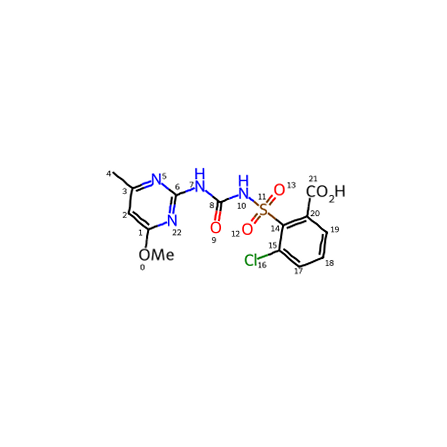 COc1cc(C)nc(NC(=O)NS(=O)(=O)c2c(Cl)cccc2C(=O)O)n1